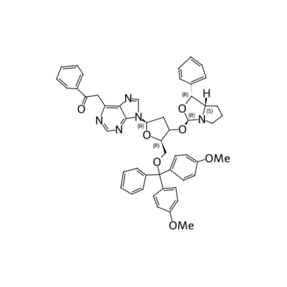 COc1ccc(C(OC[C@H]2O[C@@H](n3cnc4c(CC(=O)c5ccccc5)ncnc43)CC2O[C@H]2O[C@H](c3ccccc3)[C@@H]3CCCN23)(c2ccccc2)c2ccc(OC)cc2)cc1